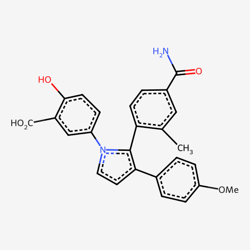 COc1ccc(-c2ccn(-c3ccc(O)c(C(=O)O)c3)c2-c2ccc(C(N)=O)cc2C)cc1